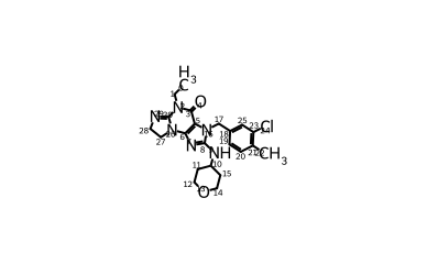 CCN1C(=O)c2c(nc(NC3CCOCC3)n2Cc2ccc(C)c(Cl)c2)N2CCN=C12